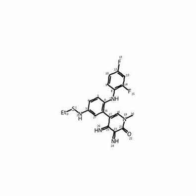 CCSNc1ccc(Nc2ccc(F)cc2F)c(C2=CN(C)C(=O)C(=N)C2=N)c1